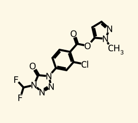 Cn1nccc1OC(=O)c1ccc(-n2nnn(C(F)F)c2=O)cc1Cl